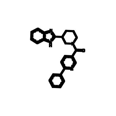 O=C(c1ccc(-c2ccccc2)nc1)N1CCCC(c2nc3ccccc3[nH]2)C1